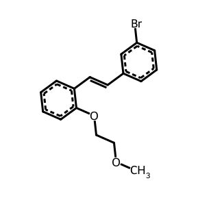 COCCOc1ccccc1C=Cc1cccc(Br)c1